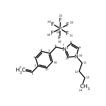 C=Cc1ccc(C[n+]2ccn(CCCC)c2)cc1.F[P-](F)(F)(F)(F)F